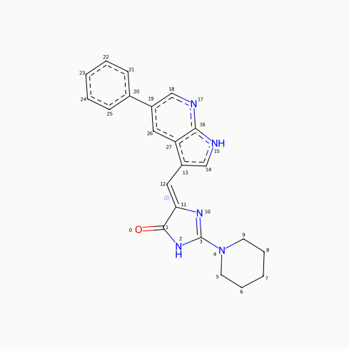 O=C1NC(N2CCCCC2)=N/C1=C\c1c[nH]c2ncc(-c3ccccc3)cc12